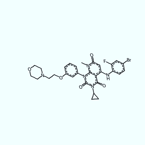 Cn1c(=O)cc(Nc2ccc(Br)cc2F)c2c(=O)n(C3CC3)c(=O)n(-c3cccc(OCCN4CCOCC4)c3)c21